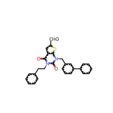 O=Cc1cc2c(=O)n(CCc3ccccc3)c(=O)n(Cc3cccc(-c4ccccc4)c3)c2s1